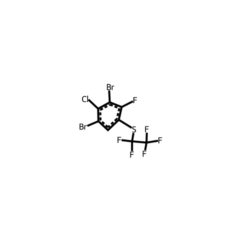 Fc1c(SC(F)(F)C(F)(F)F)cc(Br)c(Cl)c1Br